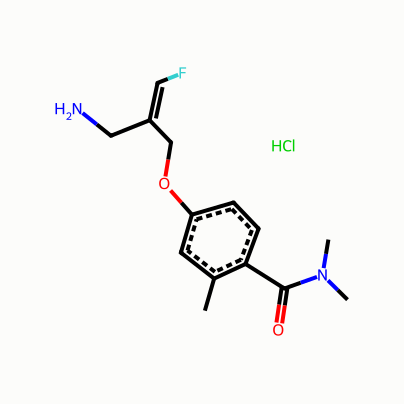 Cc1cc(OC/C(=C\F)CN)ccc1C(=O)N(C)C.Cl